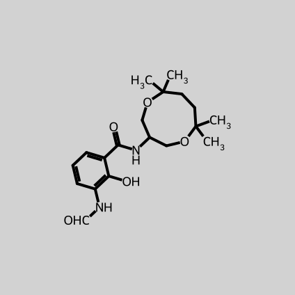 CC1(C)CCC(C)(C)OCC(NC(=O)c2cccc(NC=O)c2O)CO1